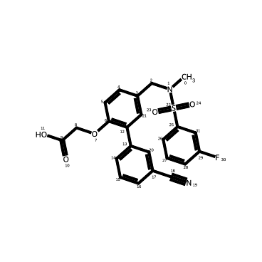 CN(Cc1ccc(OCC(=O)O)c(-c2cccc(C#N)c2)c1)S(=O)(=O)c1cccc(F)c1